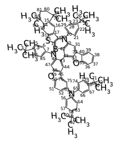 CC(C)(C)c1ccc(N2B3c4sc5cc6c(cc5c4N(c4ccc(C(C)(C)C)cc4)c4cc5c(oc7ccccc75)c(c43)-c3cc4c(cc32)oc2ccc(N(c3ccc(C(C)(C)C)cc3)c3ccc(C(C)(C)C)cc3)cc24)C(C)(C)CCC6(C)C)cc1